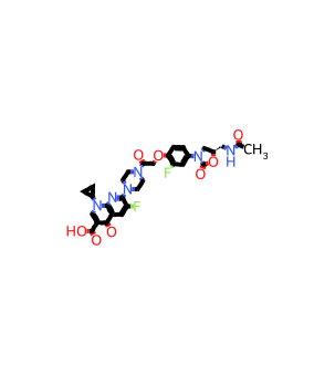 CC(=O)NC[C@H]1CN(c2ccc(OCC(=O)N3CCN(c4nc5c(cc4F)c(=O)c(C(=O)O)cn5C4CC4)CC3)c(F)c2)C(=O)O1